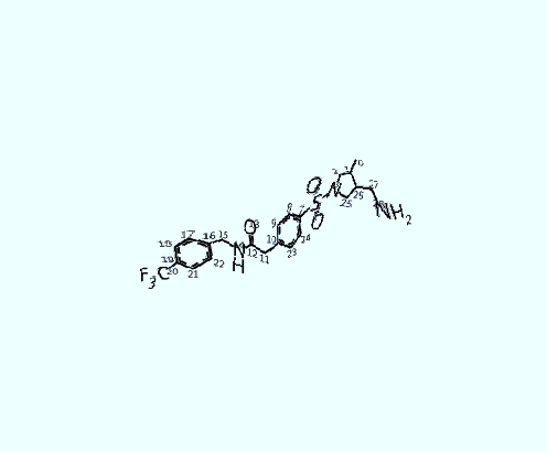 CC1CN(S(=O)(=O)c2ccc(CC(=O)NCc3ccc(C(F)(F)F)cc3)cc2)CC1CN